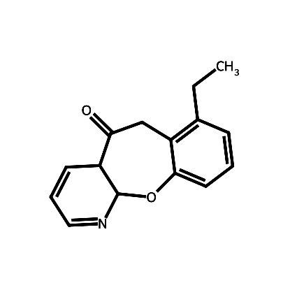 CCc1cccc2c1CC(=O)C1C=CC=NC1O2